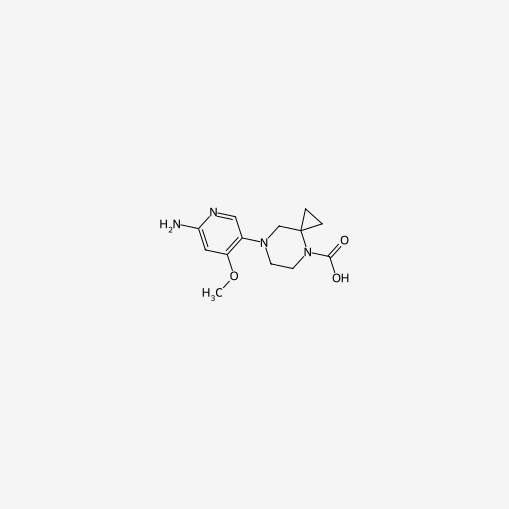 COc1cc(N)ncc1N1CCN(C(=O)O)C2(CC2)C1